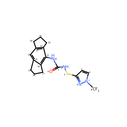 O=C(NSc1ccn(C(F)(F)F)n1)Nc1c2c(cc3c1CCC3)CCC2